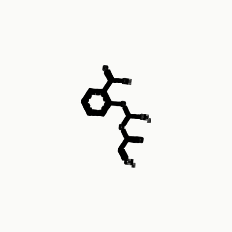 C=CC(=O)OC(C)Oc1ccccc1C(=O)O